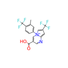 Cc1cc([N+]23C=C(C(=O)O)C=NC2=CC(C(F)(F)F)=C3)ccc1C(F)(F)F